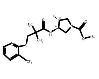 CC(C)(C)OC(=O)N1C[C@@H](F)[C@H](NC(=O)C(C)(C)COc2ncccc2C(F)(F)F)C1